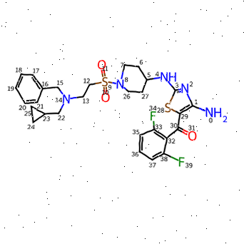 Nc1nc(NC2CCN(S(=O)(=O)CCN(Cc3ccccc3)CC3CC3)CC2)sc1C(=O)c1c(F)cccc1F